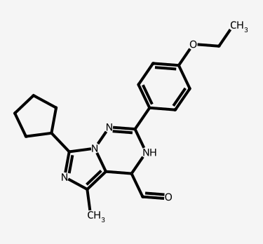 CCOc1ccc(C2=Nn3c(C4CCCC4)nc(C)c3C(C=O)N2)cc1